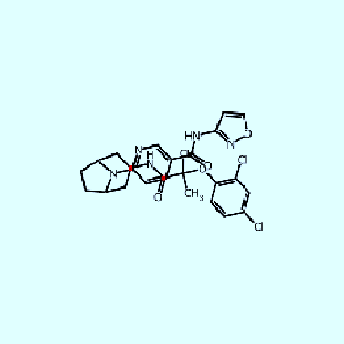 CC(C)(Oc1ccc(Cl)cc1Cl)C(=O)NC1CC2CCC(C1)N2c1ccc(C(=O)Nc2ccon2)cn1